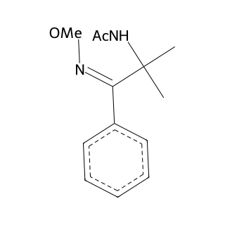 CON=C(c1ccccc1)C(C)(C)NC(C)=O